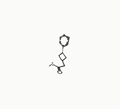 CSC(=O)CC1CC(c2ccccc2)C1